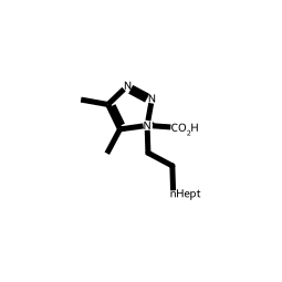 CCCCCCCCC[N+]1(C(=O)O)N=NC(C)=C1C